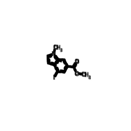 COC(=O)c1cc(I)c2ccn(C)c2c1